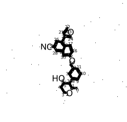 CC1OCC[C@H](O)C1c1cccc(COc2ccc3c(-c4ccoc4)cc(C#N)cc3c2)c1